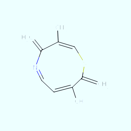 C=c1nccc(C)c(=C)scc1C